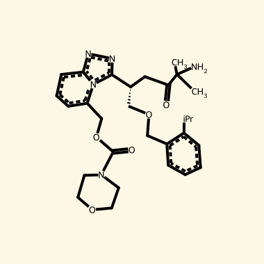 CC(C)c1ccccc1COC[C@@H](CC(=O)C(C)(C)N)c1nnc2cccc(COC(=O)N3CCOCC3)n12